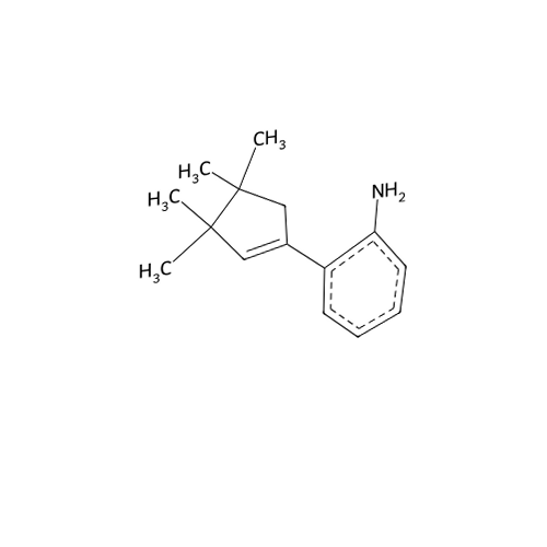 CC1(C)C=C(c2ccccc2N)CC1(C)C